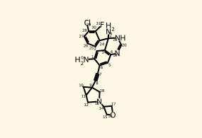 Nc1cc2c(cc1C#CC13CC1CN(C1COC1)C3)N=CNC2(N)c1cccc(Cl)c1F